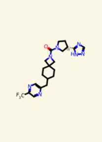 O=C(N1CC[C@H](c2ncn[nH]2)C1)N1CC2(CCC(Cc3cnc(C(F)(F)F)cn3)CC2)C1